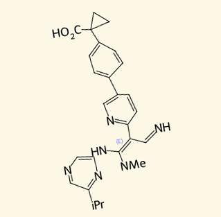 CN/C(Nc1cncc(C(C)C)n1)=C(\C=N)c1ccc(-c2ccc(C3(C(=O)O)CC3)cc2)cn1